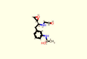 CB(O)Nc1cccc(CC(NCB=O)[C@H]2CO2)c1